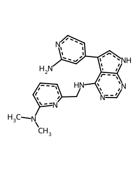 CN(C)c1cccc(CNc2ncnc3[nH]cc(-c4ccnc(N)c4)c23)n1